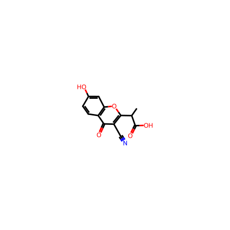 CC(C(=O)O)c1oc2cc(O)ccc2c(=O)c1C#N